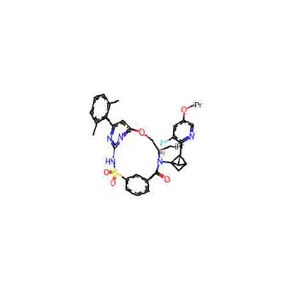 Cc1cccc(C)c1-c1cc2nc(n1)NS(=O)(=O)c1cccc(c1)C(=O)N(C13CC(C1)C3c1ncc(OC(C)C)cc1F)[C@H](CC(C)C)CO2